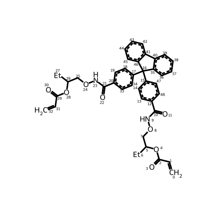 C=CC(=O)OC(CC)CONC(=O)c1ccc(C2(c3ccc(C(=O)NOCC(CC)OC(=O)C=C)cc3)c3ccccc3-c3ccccc32)cc1